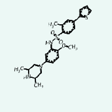 COc1ccc(N2CC(C)NC(C)C2)cc1NS(=O)(=O)c1ccc(-c2cccs2)cc1C